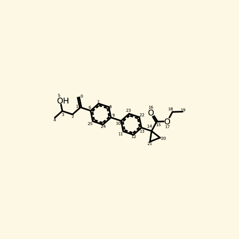 C=C(CC(C)O)c1ccc(-c2ccc(C3(C(=O)OCC)CC3)cc2)cc1